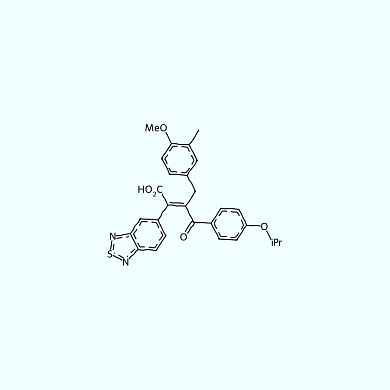 COc1ccc(C/C(C(=O)c2ccc(OC(C)C)cc2)=C(\C(=O)O)c2ccc3nsnc3c2)cc1C